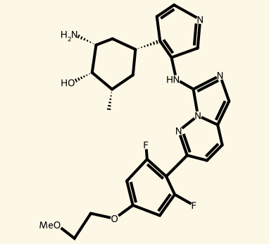 COCCOc1cc(F)c(-c2ccc3cnc(Nc4cnccc4[C@H]4C[C@@H](N)[C@@H](O)[C@@H](C)C4)n3n2)c(F)c1